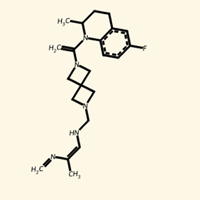 C=N/C(C)=C\NCN1CC2(C1)CN(C(=C)N1c3ccc(F)cc3CCC1C)C2